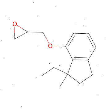 CCC1(C)CCc2cccc(OCC3CO3)c21